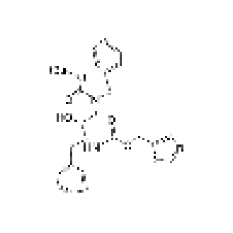 CC(C)(C)OC(=O)N(Cc1ccccc1)CC(O)C(Cc1ccccc1)NC(=O)OCc1cncs1